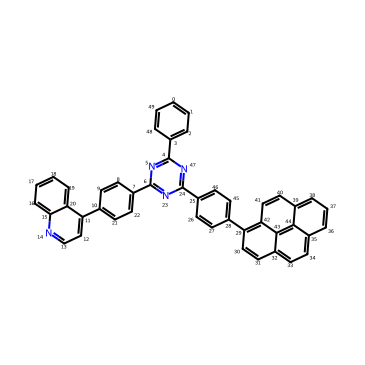 c1ccc(-c2nc(-c3ccc(-c4ccnc5ccccc45)cc3)nc(-c3ccc(-c4ccc5ccc6cccc7ccc4c5c67)cc3)n2)cc1